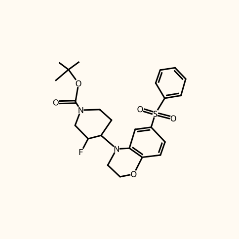 CC(C)(C)OC(=O)N1CCC(N2CCOc3ccc(S(=O)(=O)c4ccccc4)cc32)C(F)C1